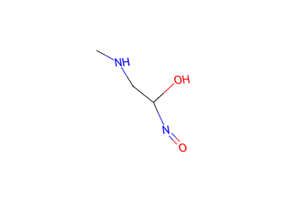 CNCC(O)N=O